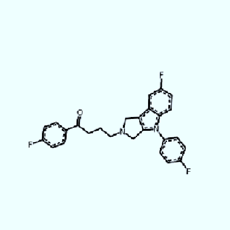 O=C(CCCN1Cc2c(n(-c3ccc(F)cc3)c3ccc(F)cc23)C1)c1ccc(F)cc1